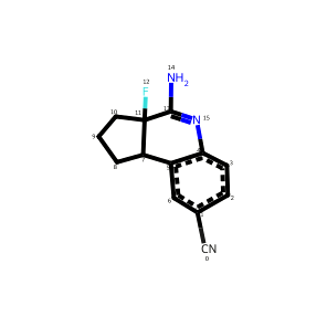 N#Cc1ccc2c(c1)C1CCCC1(F)C(N)=N2